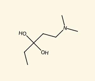 CCC(O)(O)CCN(C)C